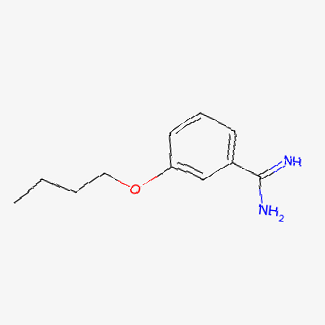 CCCCOc1cccc(C(=N)N)c1